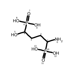 NC(CCC(O)P(=O)(O)O)P(=O)(O)O